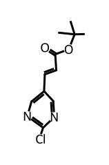 CC(C)(C)OC(=O)/C=C/c1cnc(Cl)nc1